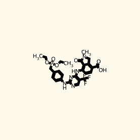 CCOP(=O)(Cc1ccc(Nc2ncc(C(F)(F)F)c(Nc3ccc(C(=O)O)c4c3C(=O)N(C)C4)n2)cc1)OCC